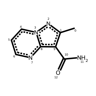 Cc1nn2cccnc2c1C(N)=O